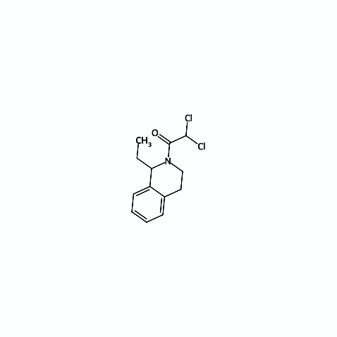 CCC1c2ccccc2CCN1C(=O)C(Cl)Cl